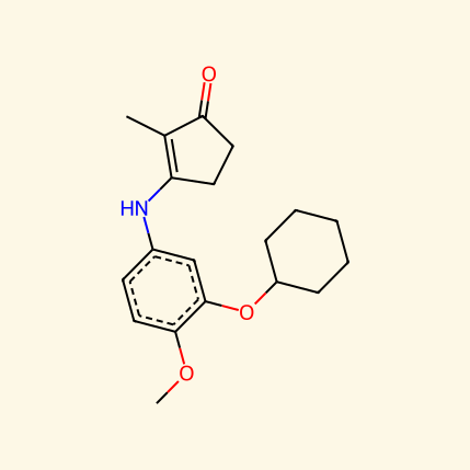 COc1ccc(NC2=C(C)C(=O)CC2)cc1OC1CCCCC1